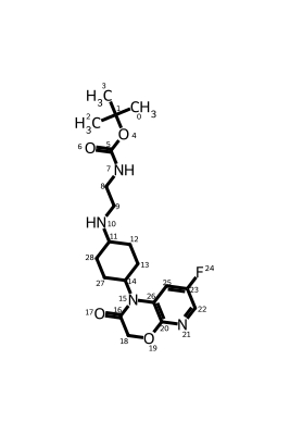 CC(C)(C)OC(=O)NCCNC1CCC(N2C(=O)COc3ncc(F)cc32)CC1